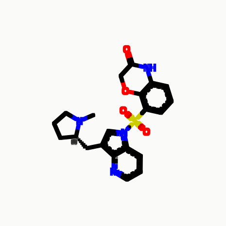 CN1CCC[C@H]1Cc1cn(S(=O)(=O)c2cccc3c2OCC(=O)N3)c2cccnc12